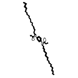 CCCCCCCCCCCCCCCCCCN(C(=O)CC)c1ccc(N(CCCCCCCCCCCCCCCCCC)C(=O)CC)cc1